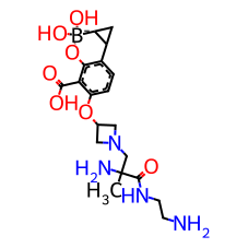 CC(N)(CN1CC(Oc2ccc3c(c2C(=O)O)O[B-](O)(O)C2CC32)C1)C(=O)NCCN